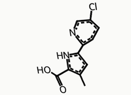 Cc1cc(-c2ccc(Cl)cn2)[nH]c1C(=O)O